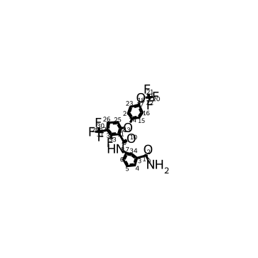 NC(=O)c1cccc(NC(=O)c2c(Oc3ccc(OC(F)(F)F)cc3)ccc(C(F)(F)F)c2F)c1